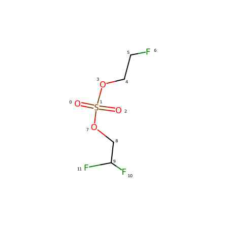 O=S(=O)(OCCF)OCC(F)F